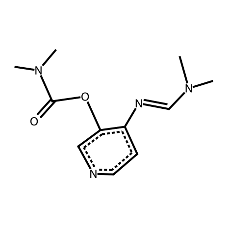 CN(C)/C=N/c1ccncc1OC(=O)N(C)C